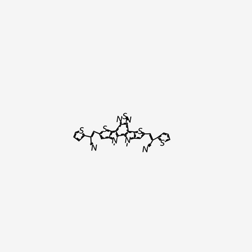 Cn1c2cc(/C=C(\C#N)c3cccs3)sc2c2c3nsnc3c3c4sc(/C=C(\C#N)c5cccs5)cc4n(C)c3c21